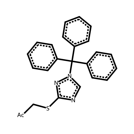 CC(=O)CSc1ncn(C(c2ccccc2)(c2ccccc2)c2ccccc2)n1